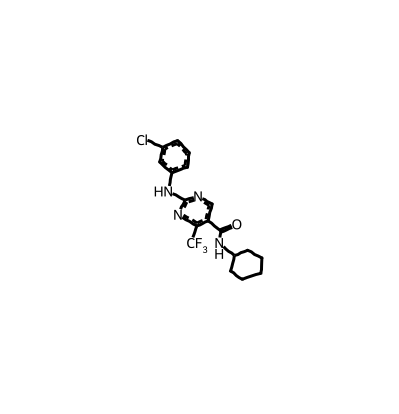 O=C(NC1CCCCC1)c1cnc(Nc2cccc(Cl)c2)nc1C(F)(F)F